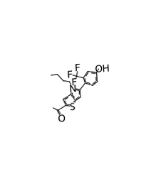 CCCCn1c(-c2ccc(O)cc2C(F)(F)F)cc2sc(C(C)=O)cc21